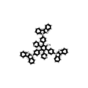 N#Cc1c(-c2ccc(-n3c4ccccc4c4c5ccccc5oc43)cc2)c(-c2cccnc2)c(-c2ccc(-n3c4ccccc4c4c5ccccc5oc43)cc2)c(-c2cccnc2)c1-c1ccc(-n2c3ccccc3c3c4ccccc4oc32)cc1